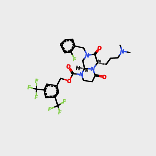 CN(C)CCC[C@H]1C(=O)N(Cc2ccccc2F)C[C@@H]2N(C(=O)OCc3cc(C(F)(F)F)cc(C(F)(F)F)c3)CCC(=O)N21